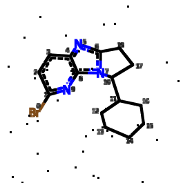 Brc1ccc2nc3n(c2n1)C(C1CCCCC1)CC3